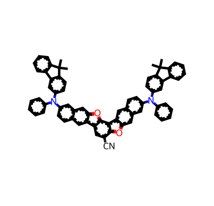 CC1(C)c2ccccc2-c2cc(N(c3ccccc3)c3ccc4cc5c(cc4c3)oc3c5cc(C#N)c4oc5cc6cc(N(c7ccccc7)c7ccc8c(c7)-c7ccccc7C8(C)C)ccc6cc5c43)ccc21